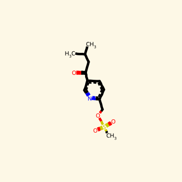 CC(C)CC(=O)c1ccc(COS(C)(=O)=O)nc1